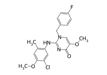 COc1cc(C)c(Nc2nc(=O)c(OC)cn2Cc2ccc(F)cc2)cc1Cl